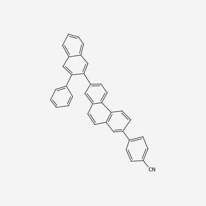 N#Cc1ccc(-c2ccc3c(ccc4cc(-c5cc6ccccc6cc5-c5ccccc5)ccc43)c2)cc1